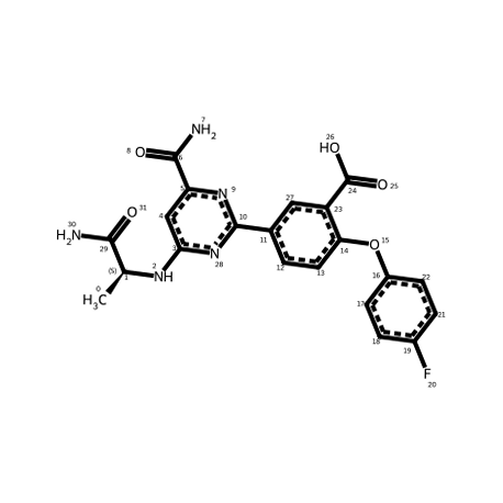 C[C@H](Nc1cc(C(N)=O)nc(-c2ccc(Oc3ccc(F)cc3)c(C(=O)O)c2)n1)C(N)=O